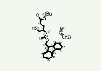 CC(C)(C)OC(=O)CCC(CS)NC(=O)OCC1c2ccccc2-c2ccccc21.O=COO